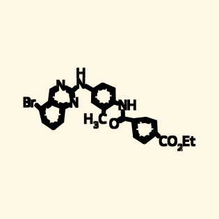 CCOC(=O)c1ccc(C(=O)Nc2ccc(Nc3ncc4c(Br)cccc4n3)cc2C)cc1